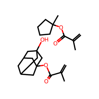 C=C(C)C(=O)OC1(C)CCCC1.C=C(C)C(=O)OC12CC3CC(CC(O)(C3)C1)C2